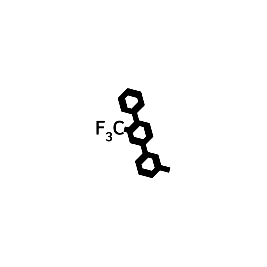 Cc1cccc(-c2ccc(-c3ccccc3)c(C(F)(F)F)c2)c1